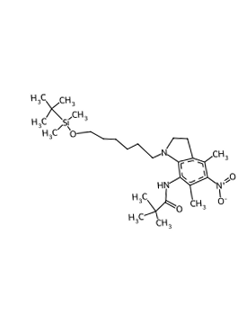 Cc1c2c(c(NC(=O)C(C)(C)C)c(C)c1[N+](=O)[O-])N(CCCCCCO[Si](C)(C)C(C)(C)C)CC2